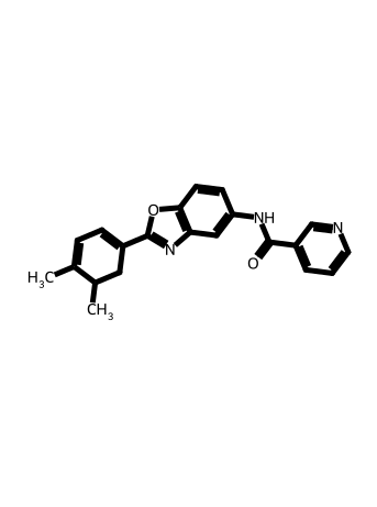 CC1=CC=C(c2nc3cc(NC(=O)c4cccnc4)ccc3o2)CC1C